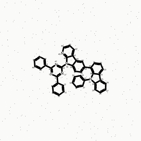 c1ccc(-c2nc(-c3ccccc3)nc(-n3c4ccc(-c5cccc6c7ccccc7n(-c7ccccc7)c56)cc4c4cccnc43)n2)cc1